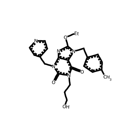 CCOc1nc2c(c(=O)n(CCCO)c(=O)n2Cc2ccncc2)n1Cc1ccc(C)cc1